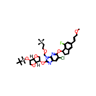 COC/C=C/c1cc(F)c2c(c1)CCC2Oc1nc2c(cc1Cl)nc(O[C@@H]1CO[C@H]3[C@@H]1OC[C@H]3O[Si](C)(C)C(C)(C)C)n2COCC[Si](C)(C)C